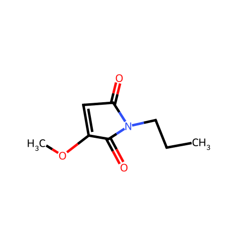 CCCN1C(=O)C=C(OC)C1=O